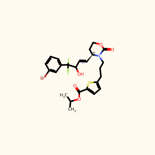 CC(C)OC(=O)c1ccc(CCCN2C(=O)OCC[C@@H]2/C=C/C(O)C(F)(F)c2cccc(Br)c2)s1